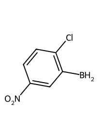 Bc1cc([N+](=O)[O-])ccc1Cl